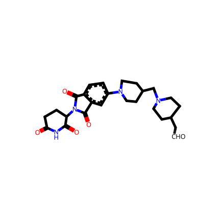 O=CCC1CCN(CC2CCN(c3ccc4c(c3)C(=O)N(C3CCC(=O)NC3=O)C4=O)CC2)CC1